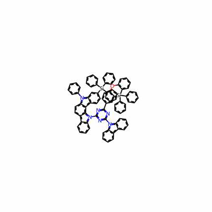 c1ccc(-n2c3cc([Si](c4ccccc4)(c4ccccc4)c4ccccc4)ccc3c3c2ccc2c4ccccc4n(-c4nc(-c5ccc6c(c5)[Si](c5ccccc5)(c5ccccc5)c5ccccc5O6)nc(-n5c6ccccc6c6ccccc65)n4)c23)cc1